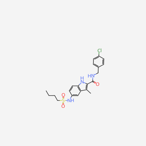 CCCCS(=O)(=O)Nc1ccc2[nH]c(C(=O)NCc3ccc(Cl)cc3)c(C)c2c1